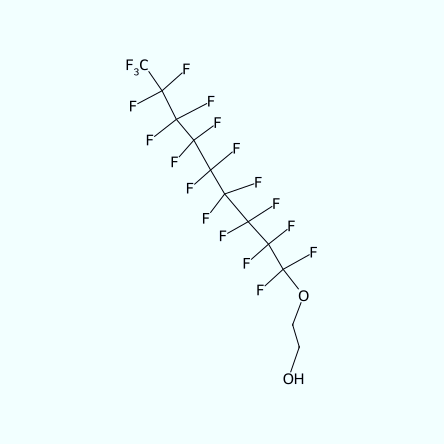 OCCOC(F)(F)C(F)(F)C(F)(F)C(F)(F)C(F)(F)C(F)(F)C(F)(F)C(F)(F)C(F)(F)F